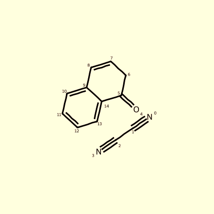 N#CC#N.O=C1CC=Cc2ccccc21